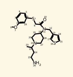 COc1cccc(SCC(=O)N(Cc2ccsc2)C2CCN(C(C)CCN)CC2)c1